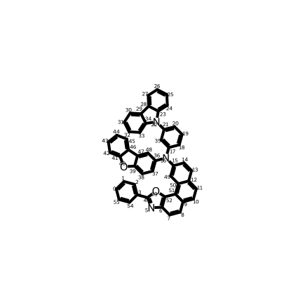 c1ccc(-c2nc3ccc4ccc5ccc(N(c6cccc(-n7c8ccccc8c8ccccc87)c6)c6ccc7oc8ccccc8c7c6)cc5c4c3o2)cc1